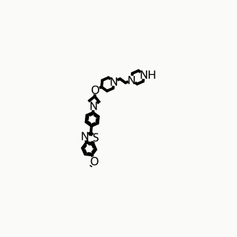 COc1ccc2nc(-c3ccc(N4CC(OC5CCN(CCN6CCNCC6)CC5)C4)cc3)sc2c1